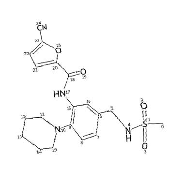 CS(=O)(=O)NCc1ccc(N2CCCCC2)c(NC(=O)c2ccc(C#N)o2)c1